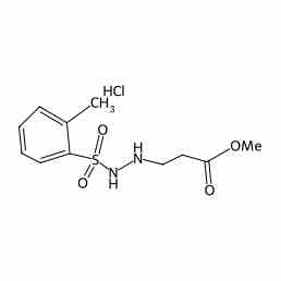 COC(=O)CCNNS(=O)(=O)c1ccccc1C.Cl